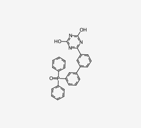 O=P(c1ccccc1)(c1ccccc1)c1cccc(-c2cccc(-c3nc(O)nc(O)n3)c2)c1